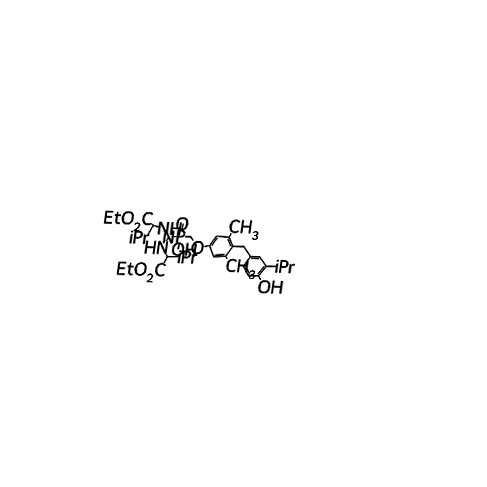 CCOC(=O)C(NN(NC(C(=O)OCC)C(C)C)P(=O)(O)COc1cc(C)c(Cc2ccc(O)c(C(C)C)c2)c(C)c1)C(C)C